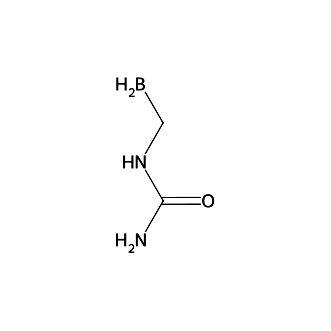 BCNC(N)=O